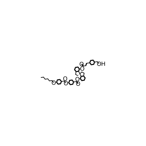 CCCCCCOc1ccc(C(=O)Oc2ccc(C(=O)Oc3cccc4c3[C@]3(CCc5cccc(OC(=O)/C=C/c6ccc(CO)cc6)c53)CC4)cc2)cc1